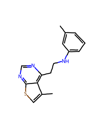 Cc1cccc(NCCc2ncnc3scc(C)c23)c1